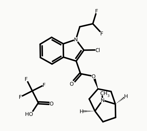 CN1[C@@H]2CC[C@H]1C[C@@H](OC(=O)c1c(Cl)n(CC(F)F)c3ccccc13)C2.O=C(O)C(F)(F)F